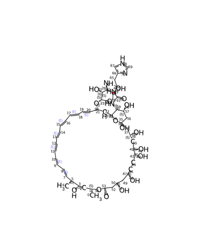 C[C@H]1C[C@H](O)[C@@H](C)/C=C/C=C/C=C/C=C/C=C/C=C/C=C/[C@H](O[C@@H]2OC[C@@H](O)[C@H](N)[C@@H]2O)C[C@@H]2O[C@](O)(C[C@@H](O)C[C@@H](O)[C@H](O)CC[C@@H](O)C[C@@H](O)CC(=O)O1)C[C@H](O)[C@H]2NC(=O)NCCc1c[nH]cn1